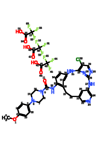 COc1ccc(N2CCN(C(=O)Nc3ccc4cc3CCc3cncc(c3)Nc3ncc(Cl)c(n3)N4)CC2)cc1.O=C(O)C(F)(F)F.O=C(O)C(F)(F)F.O=C(O)C(F)(F)F